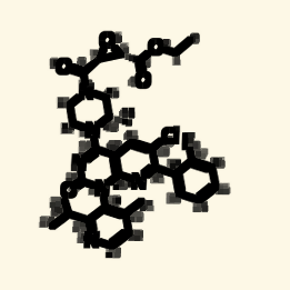 CCOC(=O)[C@H]1O[C@@H]1C(=O)N1CCN(c2nc(=O)n(-c3c(C)ccnc3C(C)C)c3nc(-c4ccccc4F)c(Cl)cc23)[C@@H](C)C1